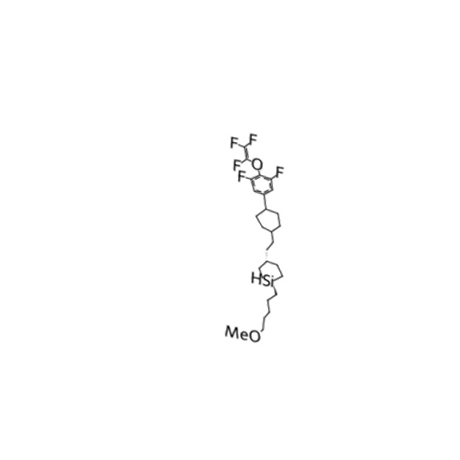 COCCCCC[Si@H]1CC[C@H](CCC2CCC(c3cc(F)c(OC(F)=C(F)F)c(F)c3)CC2)CC1